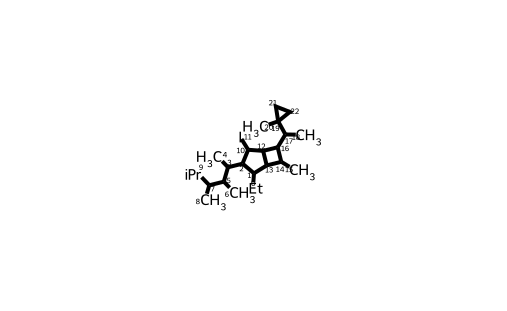 CCC1C(C(C)C(C)C(C)C(C)C)C(I)C2C1C(C)C2C(C)C1(C)CC1